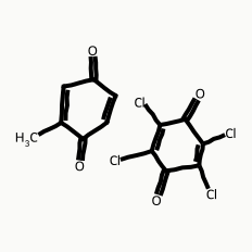 CC1=CC(=O)C=CC1=O.O=C1C(Cl)=C(Cl)C(=O)C(Cl)=C1Cl